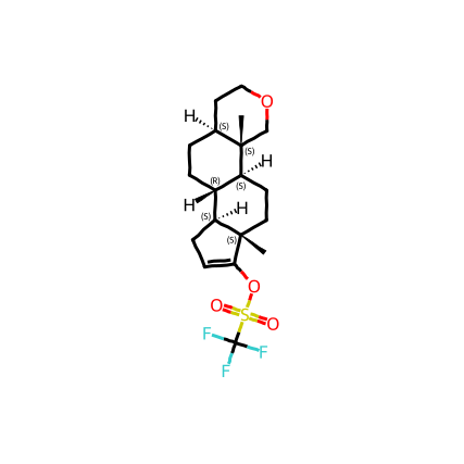 C[C@]12COCC[C@@H]1CC[C@@H]1[C@@H]2CC[C@]2(C)C(OS(=O)(=O)C(F)(F)F)=CC[C@@H]12